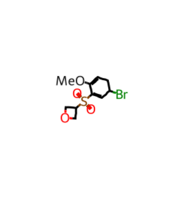 COC1=CCC(Br)C=C1S(=O)(=O)C1COC1